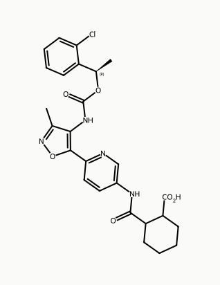 Cc1noc(-c2ccc(NC(=O)C3CCCCC3C(=O)O)cn2)c1NC(=O)O[C@H](C)c1ccccc1Cl